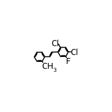 Cc1ccccc1C=Cc1cc(F)c(Cl)cc1Cl